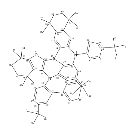 CC(C)(C)c1ccc(N2c3cc4c(cc3B3c5oc6c(c5N(c5ccc(C(C)(C)C)cc5C5=CCCC=C5)c5cc(C(C)(C)C)cc2c53)C(C)(C)CCC6(C)C)C(C)(C)CCC4(C)C)cc1